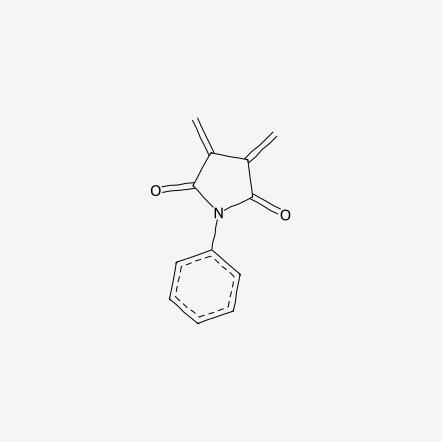 C=C1C(=C)C(=O)N(c2ccccc2)C1=O